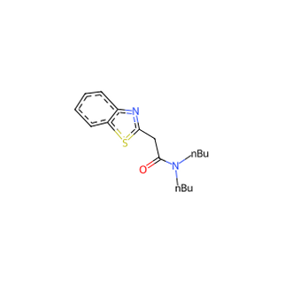 CCCCN(CCCC)C(=O)Cc1nc2ccccc2s1